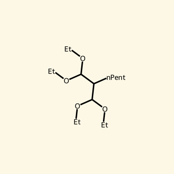 CCCCCC(C(OCC)OCC)C(OCC)OCC